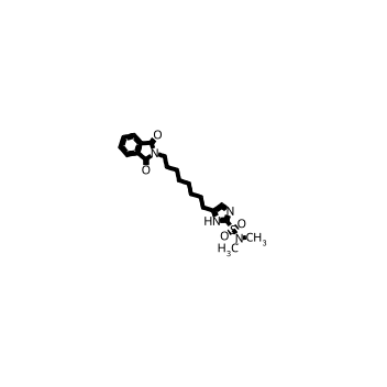 CN(C)S(=O)(=O)c1ncc(CCCCCCCCN2C(=O)c3ccccc3C2=O)[nH]1